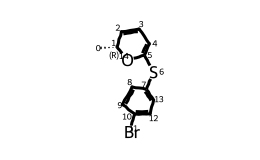 C[C@@H]1C=CC=C(Sc2ccc(Br)cc2)O1